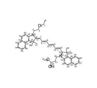 CCOCCN1/C(=C/C=C/C=C/C=C/C2=[N+](CCC(O)OC)c3ccc4ccccc4c3C2(C)C)C(C)(C)c2c1ccc1ccccc21